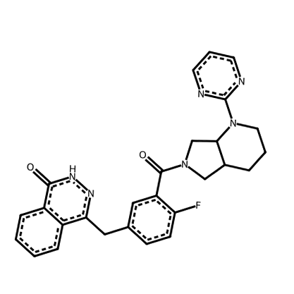 O=C(c1cc(Cc2n[nH]c(=O)c3ccccc23)ccc1F)N1CC2CCCN(c3ncccn3)C2C1